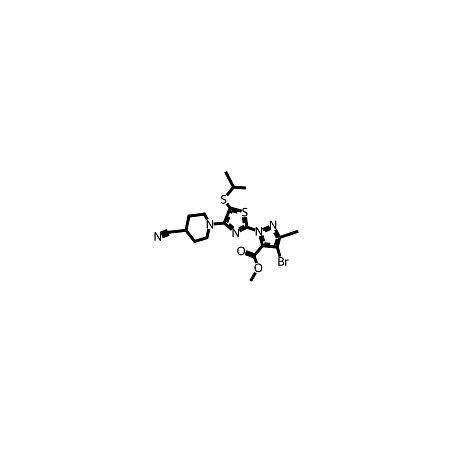 COC(=O)c1c(Br)c(C)nn1-c1nc(N2CCC(C#N)CC2)c(SC(C)C)s1